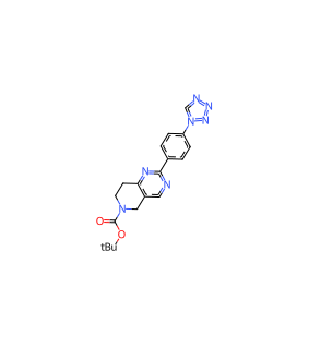 CC(C)(C)OC(=O)N1CCc2nc(-c3ccc(-n4cnnn4)cc3)ncc2C1